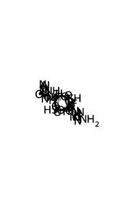 Nc1ncnc2c1ncn2[C@@H]1O[C@@H]2CO[P@@](=O)(S)OC[C@@H]3[C@@H](CO[P@@](=O)(S)O[C@H]2[C@H]1F)C[C@H]3n1cnc2c(=O)n3cnnc3[nH]c21